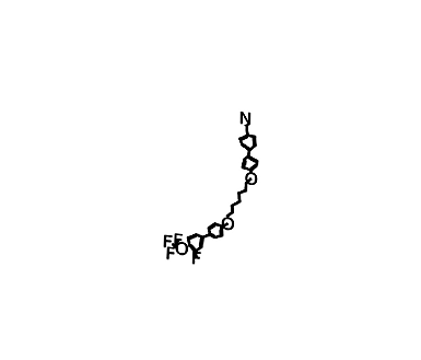 N#Cc1ccc(-c2ccc(OCCCCCCCOc3ccc(-c4ccc(OC(F)(F)F)c(F)c4)cc3)cc2)cc1